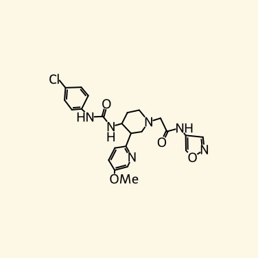 COc1ccc(C2CN(CC(=O)Nc3cnoc3)CCC2NC(=O)Nc2ccc(Cl)cc2)nc1